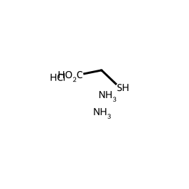 Cl.N.N.O=C(O)CS